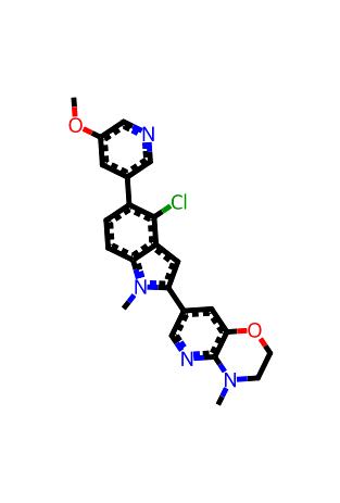 COc1cncc(-c2ccc3c(cc(-c4cnc5c(c4)OCCN5C)n3C)c2Cl)c1